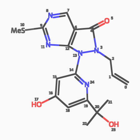 C=CCn1c(=O)c2cnc(SC)nc2n1-c1cc(O)cc(C(C)(C)O)n1